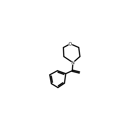 C=C(c1ccccc1)N1CCOCC1